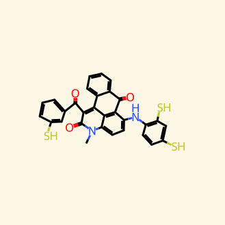 Cn1c(=O)c(C(=O)c2cccc(S)c2)c2c3c(c(Nc4ccc(S)cc4S)ccc31)C(=O)c1ccccc1-2